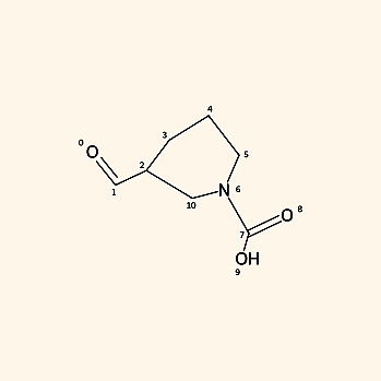 O=CC1CCCN(C(=O)O)C1